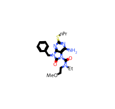 CCCSc1nc(N)c2c(n1)n(Cc1ccccc1)c(=O)n2C(=O)N(CC)CCOC